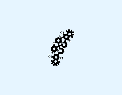 [2H]c1c([2H])c2c(c([2H])c1-c1cccc(C3(c4cccc(-c5c([2H])c([2H])c6c(c5[2H])C(C)(C)C(C)(C)C6(C)C)n4)c4ccccc4Oc4ccccc43)n1)C(C)(C)C(C)(C)C2(C)C